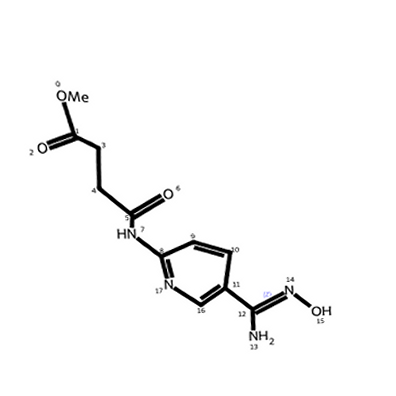 COC(=O)CCC(=O)Nc1ccc(/C(N)=N/O)cn1